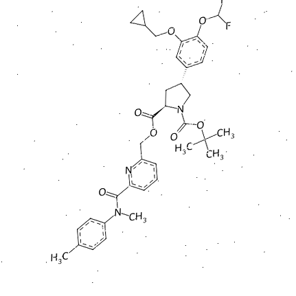 Cc1ccc(N(C)C(=O)c2cccc(COC(=O)[C@H]3C[C@H](c4ccc(OC(F)F)c(OCC5CC5)c4)CN3C(=O)OC(C)(C)C)n2)cc1